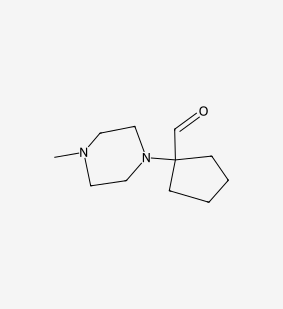 CN1CCN(C2(C=O)CCCC2)CC1